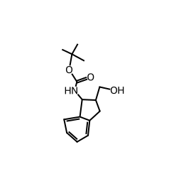 CC(C)(C)OC(=O)NC1c2ccccc2CC1CO